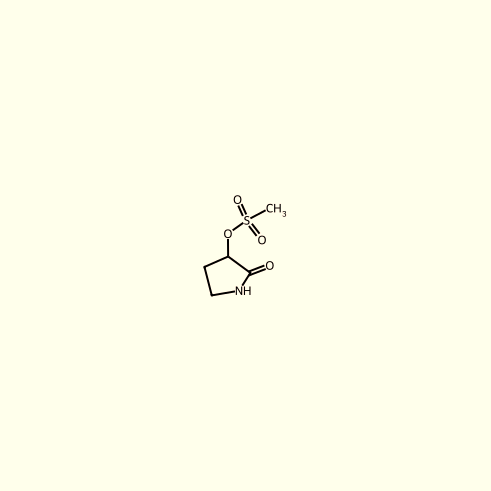 CS(=O)(=O)OC1CCNC1=O